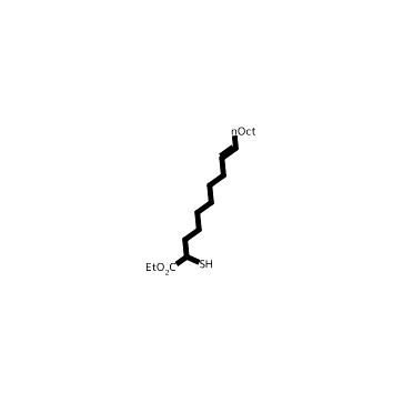 CCCCCCCCC=CCCCCCCC(S)C(=O)OCC